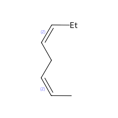 C/C=C\C/C=C\CC